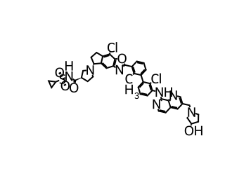 Cc1c(-c2nc3cc4c(c(Cl)c3o2)CC[C@H]4N2CC[C@@H](C(=O)NS(=O)(=O)C3CC3)C2)cccc1-c1cccc(Nc2nccc3cc(CN4CC[C@@H](O)C4)cnc23)c1Cl